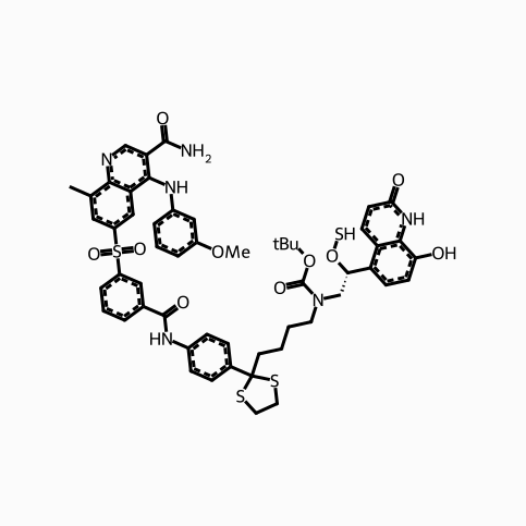 COc1cccc(Nc2c(C(N)=O)cnc3c(C)cc(S(=O)(=O)c4cccc(C(=O)Nc5ccc(C6(CCCCN(C[C@H](OS)c7ccc(O)c8[nH]c(=O)ccc78)C(=O)OC(C)(C)C)SCCS6)cc5)c4)cc23)c1